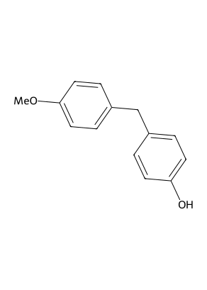 COc1ccc(Cc2ccc(O)cc2)cc1